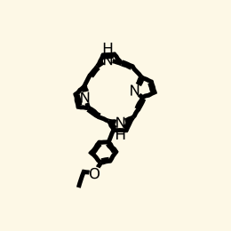 CCOc1ccc(-c2cc3cc4nc(cc5ccc(cc6nc(cc2[nH]3)C=C6)[nH]5)C=C4)cc1